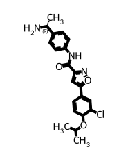 CC(C)OC1C=CC(c2cc(C(=O)Nc3ccc([C@@H](C)N)cc3)no2)=CC1Cl